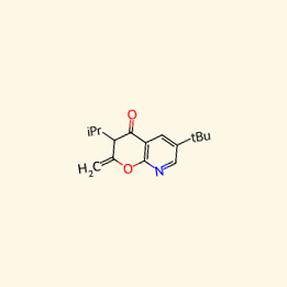 C=C1Oc2ncc(C(C)(C)C)cc2C(=O)C1C(C)C